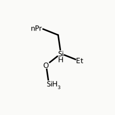 CCCC[SiH](CC)O[SiH3]